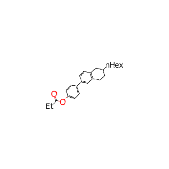 CCCCCCC1CCc2cc(-c3ccc(OC(=O)CC)cc3)ccc2C1